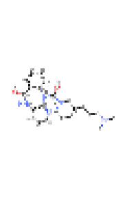 CN(C)CCCC1CCCN(C(=O)N2c3ccccc3C(=O)Nc3cccnc32)C1